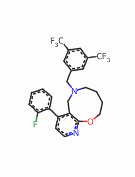 Fc1ccccc1-c1ccnc2c1CN(Cc1cc(C(F)(F)F)cc(C(F)(F)F)c1)CCCCO2